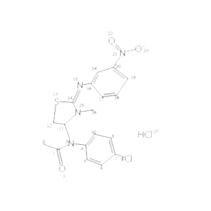 CC(=O)N(c1ccc(Cl)cc1)C1CSC(=Nc2cccc([N+](=O)[O-])c2)N1C.Cl